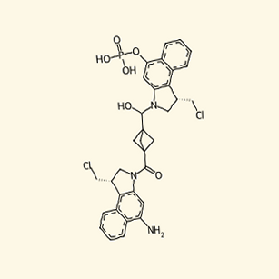 Nc1cc2c(c3ccccc13)[C@H](CCl)CN2C(=O)C12CC(C(O)N3C[C@@H](CCl)c4c3cc(OP(=O)(O)O)c3ccccc43)(C1)C2